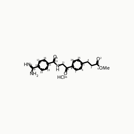 COC(=O)CCc1ccc(C(=O)CNC(=O)c2ccc(C(=N)N)cc2)cc1.Cl